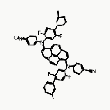 [C-]#[N+]c1ccc(N(c2cc(F)c(-c3cccc(C)c3)cc2F)c2ccc3ccc4c(N(c5ccc(C#N)cc5)c5cc(F)c(-c6cccc(C)c6)cc5F)ccc5ccc2c3c54)cc1